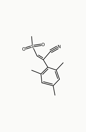 Cc1cc(C)c(C(C#N)=CS(C)(=O)=O)c(C)c1